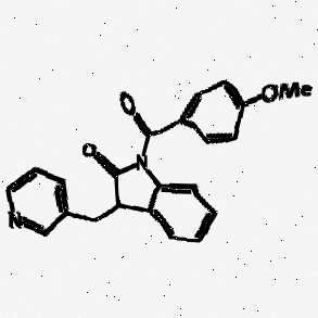 COc1ccc(C(=O)N2C(=O)C(Cc3cccnc3)c3ccccc32)cc1